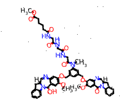 COC(=O)CCCCC(=O)NCC(=O)NCC(=O)NCC(=O)N(C)c1cc(COc2cc3c(cc2OC)C(=O)N2c4ccccc4C[C@H]2C=N3)cc(COc2cc3c(cc2OC)C(O)N2c4ccccc4C[C@H]2C=N3)c1